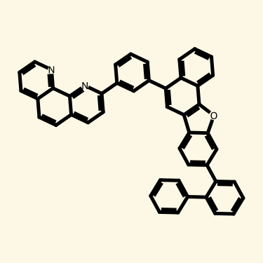 c1ccc(-c2ccccc2-c2ccc3c(c2)oc2c4ccccc4c(-c4cccc(-c5ccc6ccc7cccnc7c6n5)c4)cc32)cc1